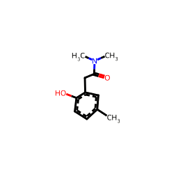 Cc1ccc(O)c(CC(=O)N(C)C)c1